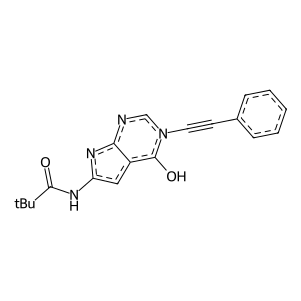 CC(C)(C)C(=O)Nc1cc2c(O)n(C#Cc3ccccc3)cnc-2n1